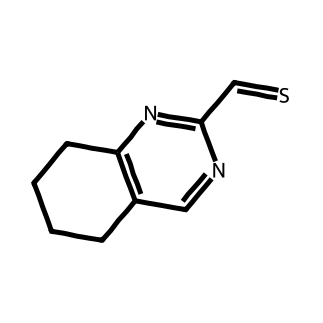 S=Cc1ncc2c(n1)CCCC2